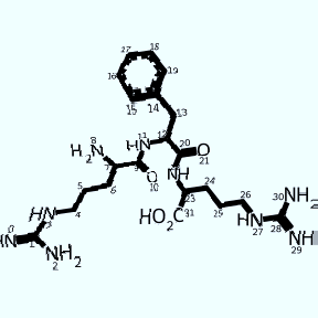 N=C(N)NCCCC(N)C(=O)NC(Cc1ccccc1)C(=O)NC(CCCNC(=N)N)C(=O)O